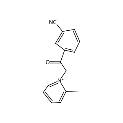 Cc1cccc[n+]1CC(=O)c1cccc(C#N)c1